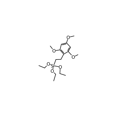 CCO[Si](CCc1c(OC)cc(OC)cc1OC)(OCC)OCC